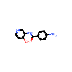 Nc1ccc(C(=O)Nc2cnccc2O)cc1